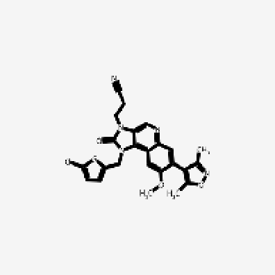 COc1cc2c(cc1-c1c(C)noc1C)ncc1c2n(Cc2ccc(Cl)s2)c(=O)n1CCC#N